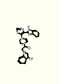 N#Cc1cn(CC(=O)N2CCN(c3scnc3-c3nc4ccccc4[nH]3)CC2)c2ccccc12